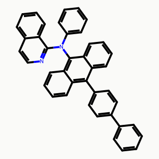 c1ccc(-c2ccc(-c3c4ccccc4c(N(c4ccccc4)c4nccc5ccccc45)c4ccccc34)cc2)cc1